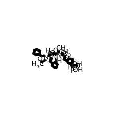 CC1CN(C(=O)[C@@H]2Cc3ccccc3CN2C(=O)C(NC(=O)c2cc3cc(C(F)(F)P(=O)(O)O)ccc3s2)C(C)(C)C)CC(c2ccccc2)O1